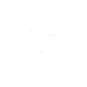 FC(F)(F)c1[c]n[c][c]n1